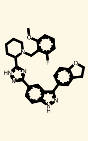 COc1cccc(F)c1CN1CCCCC1c1nc(-c2ccc3[nH]nc(-c4ccc5c(c4)CCO5)c3c2)n[nH]1